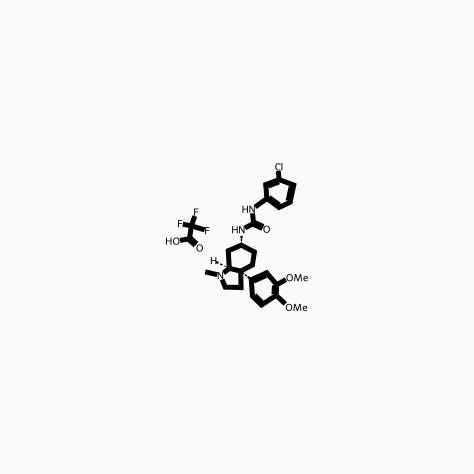 COc1ccc([C@@]23CC[C@@H](NC(=O)Nc4cccc(Cl)c4)C[C@@H]2N(C)CC3)cc1OC.O=C(O)C(F)(F)F